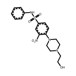 O=[N+]([O-])c1cc(S(=O)(=O)Nc2ccccc2)ccc1N1CCN(CCO)CC1